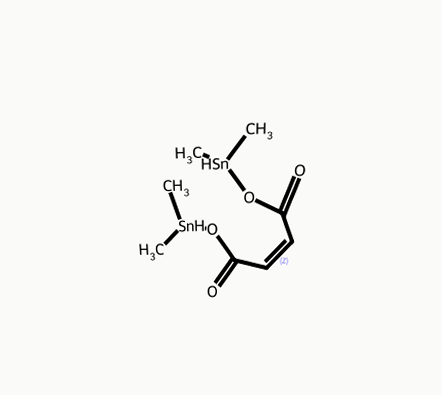 [CH3][SnH]([CH3])[O]C(=O)/C=C\C(=O)[O][SnH]([CH3])[CH3]